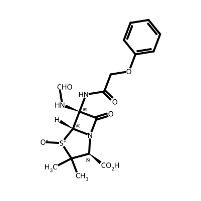 CC1(C)[C@H](C(=O)O)N2C(=O)[C@@](NC=O)(NC(=O)COc3ccccc3)[C@H]2[S+]1[O-]